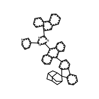 c1cncc(-c2nc(-c3c4ccccc4c(-c4ccc5c(c4)C4(c6ccccc6-5)C5CC6CC(C5)CC4C6)c4ccccc34)nc(-c3cc4ccccc4c4ccccc34)n2)c1